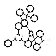 CC1(C)c2ccccc2C2(c3ccc(-c4ccc5c(c4)C(c4ccccc4)(c4ccccc4)c4ccccc4-5)cc3-c3c(-c4nc(-c5ccccc5)nc(-c5ccccc5)n4)cccc32)c2ccccc21